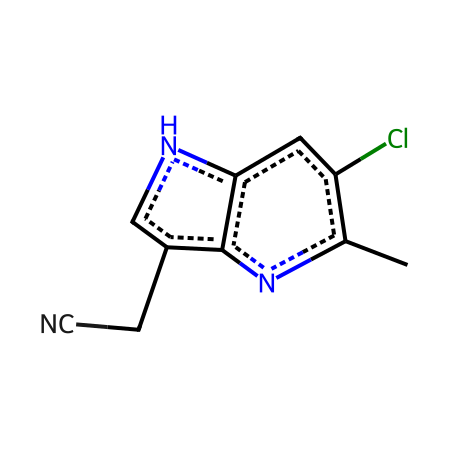 Cc1nc2c(CC#N)c[nH]c2cc1Cl